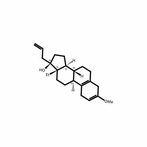 C=CC[C@]1(O)CC[C@H]2[C@@H]3CCC4=C(CC=C(OC)C4)[C@H]3CC[C@@]21CC